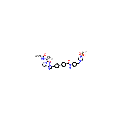 CCCS(=O)(=O)N1CCN(Cc2ccc(NC(=O)c3ccc(-c4ccc(-c5cnc([C@@H]6CCCN6C(=O)[C@H](C)NC(=O)OC)[nH]5)cc4)cc3)cc2)CC1